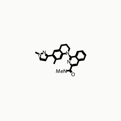 CNC(=O)c1cc2ccccc2c(N2CCCc3cc(-c4ccn(C)n4)c(C)cc32)n1